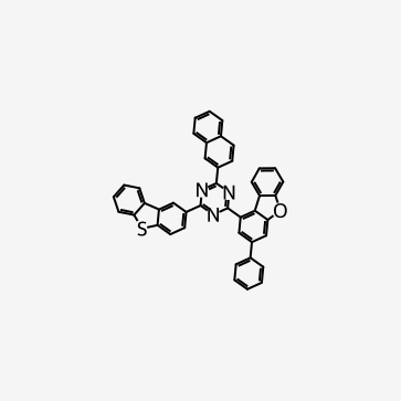 c1ccc(-c2cc(-c3nc(-c4ccc5ccccc5c4)nc(-c4ccc5sc6ccccc6c5c4)n3)c3c(c2)oc2ccccc23)cc1